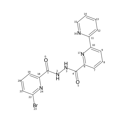 O=C(NNC(=O)c1cccc(-c2ccccn2)n1)c1cccc(Br)n1